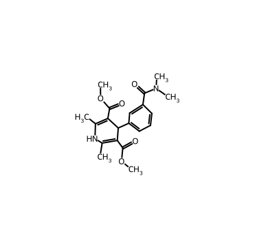 COC(=O)C1=C(C)NC(C)=C(C(=O)OC)C1c1cccc(C(=O)N(C)C)c1